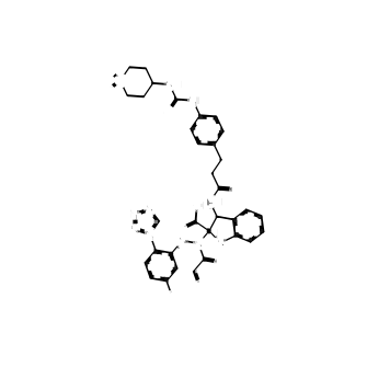 O=CC(=O)N(Nc1cc(Cl)ccc1-n1cnnn1)C1(C(=O)O)Nc2ccccc2C1NC(=O)CCc1ccc(NC(=O)NC2CCS(=O)(=O)CC2)cc1